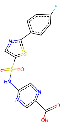 O=C(O)c1cnc(NS(=O)(=O)c2cnc(-c3ccc(F)cc3)s2)cn1